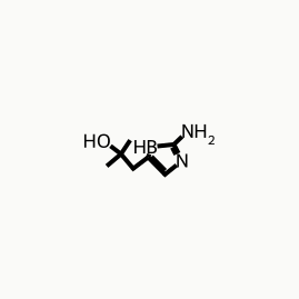 CC(C)(O)CC1=CN=C(N)B1